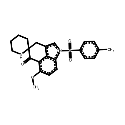 COc1ccc2c3c(cn2S(=O)(=O)c2ccc(C)cc2)CC2(CCCCN2)C(=O)c13